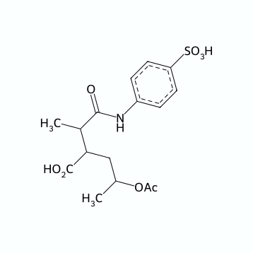 CC(=O)OC(C)CC(C(=O)O)C(C)C(=O)Nc1ccc(S(=O)(=O)O)cc1